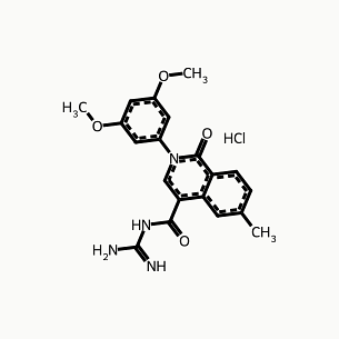 COc1cc(OC)cc(-n2cc(C(=O)NC(=N)N)c3cc(C)ccc3c2=O)c1.Cl